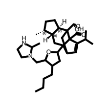 CCCCC1CC(C23C[C@@H]4[C@H](C)CC[C@H]4C4(C=O)CC2C=C(C(C)C)C34C(=O)O)OC1CN1CCNC1C